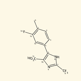 Cc1ccc(-c2[nH]c(C(F)(F)F)nc2C(=O)O)cc1F